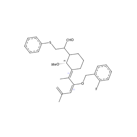 C=C(C)/C=C(OCc1ccccc1F)\C(C)=C1/CCCC(C(C=O)CSc2ccccc2)[C@H]1OC